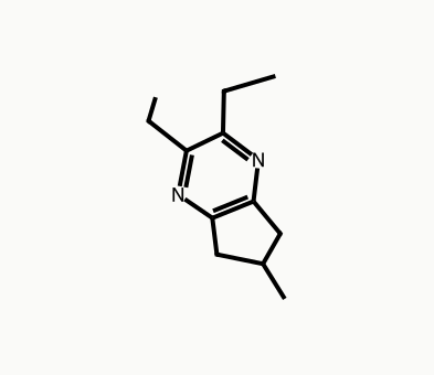 CCc1nc2c(nc1CC)CC(C)C2